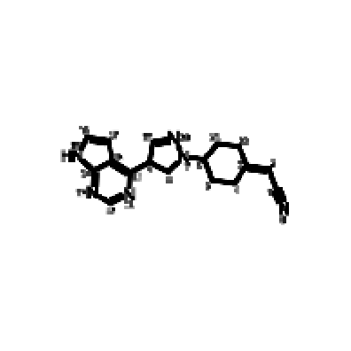 N#CC=C1CCC(N2CC(c3ncnc4[nH]ccc34)C=N2)CC1